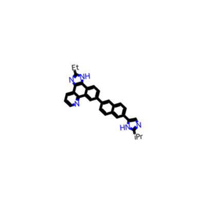 CCc1nc2c3cccnc3c3cc(-c4ccc5cc(-c6cnc(C(C)C)[nH]6)ccc5c4)ccc3c2[nH]1